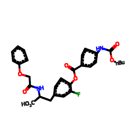 CCCCOC(=O)Nc1ccc(C(=O)Oc2ccc(CC(NC(=O)COc3ccccc3)C(=O)O)cc2F)cc1